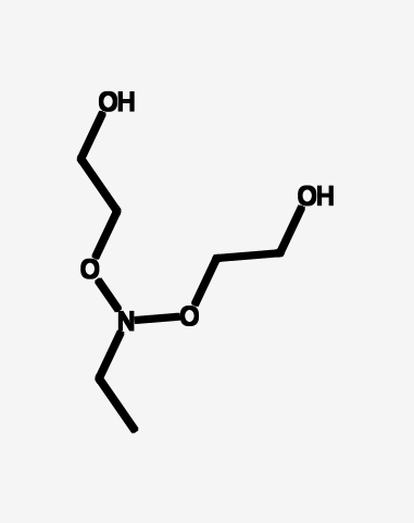 CCN(OCCO)OCCO